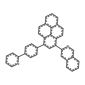 c1ccc(-c2ccc(-c3cc(-c4cc5ccccc5cn4)c4ccc5cccc6ccc3c4c65)cc2)nc1